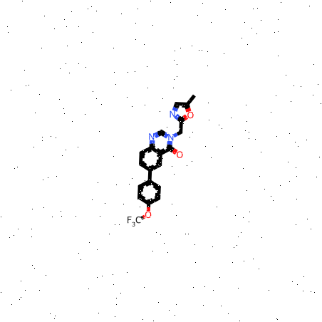 Cc1cnc(Cn2cnc3ccc(-c4ccc(OC(F)(F)F)cc4)cc3c2=O)o1